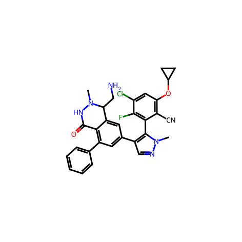 CN1NC(=O)c2c(-c3ccccc3)cc(-c3cnn(C)c3-c3c(F)c(Cl)cc(OC4CC4)c3C#N)cc2C1CN